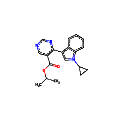 CC(C)OC(=O)c1cncnc1-c1cn(C2CC2)c2ccccc12